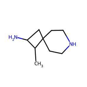 CC1C(N)CC12CCNCC2